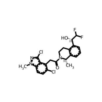 C[C@H]1c2cccc([C@H](O)C(F)F)c2CCN1C(=O)Cc1c(Cl)ccc2c1c(Cl)nn2C